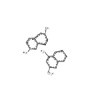 Cc1cc(C(=O)O)cc2ccccc12.Cc1ccc2cc(O)ccc2c1